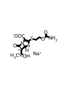 C[C@@H](O)[C@H]1C(=O)N2C(C(=O)[O-])=C(SCCOC(N)=O)S[C@H]12.[Na+]